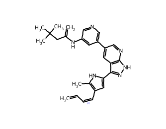 C=C/C=C\c1cc(-c2n[nH]c3ncc(-c4cncc(NC(=C)CC(C)(C)C)c4)cc23)[nH]c1C